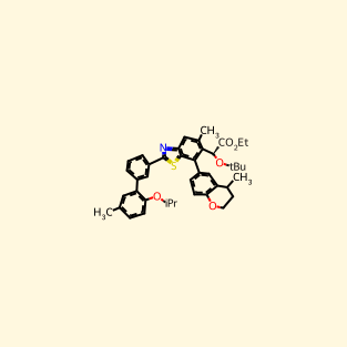 CCOC(=O)[C@@H](OC(C)(C)C)c1c(C)cc2nc(-c3cccc(-c4cc(C)ccc4OC(C)C)c3)sc2c1-c1ccc2c(c1)C(C)CCO2